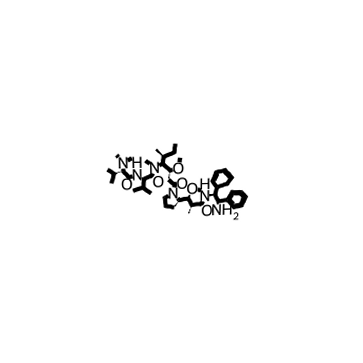 CC[C@H](C)C([C@@H](CC(=O)N1CCC[C@H]1[C@H](OC)[C@@H](C)C(=O)N[C@@H](C1C=CC=CC1)[C@@H](N)c1ccccc1)OC)N(C)C(=O)[C@@H](NC(=O)[C@H](C(C)C)N(C)C)C(C)C